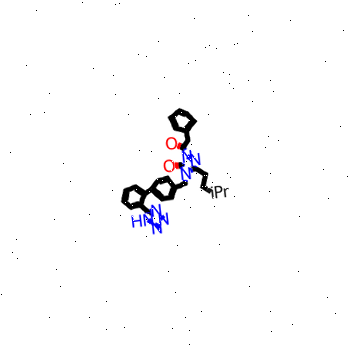 CC(C)CCc1nn(C(=O)Cc2ccccc2)c(=O)n1Cc1ccc(-c2ccccc2-c2nnn[nH]2)cc1